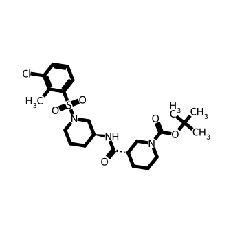 Cc1c(Cl)cccc1S(=O)(=O)N1CCC[C@H](NC(=O)[C@H]2CCCN(C(=O)OC(C)(C)C)C2)C1